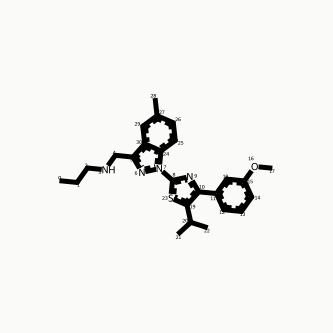 CCCNCc1nn(-c2nc(-c3cccc(OC)c3)c(C(C)C)s2)c2ccc(C)cc12